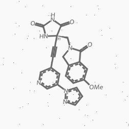 COc1ccc2c(c1)C(=O)N(C[C@@]1(C#Cc3cncc(-n4cccn4)c3)NC(=O)NC1=O)C2